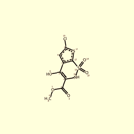 COC(=O)C1=C(O)c2cc(Cl)sc2S(=O)(=O)N1